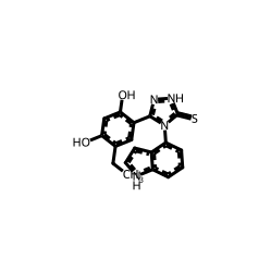 CCc1cc(-c2n[nH]c(=S)n2-c2cccc3[nH]ccc23)c(O)cc1O